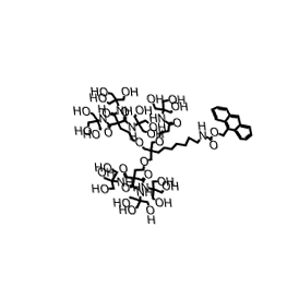 O=C(CCOCC(CCCCCCCNC(=O)OCc1c2ccccc2cc2ccccc12)(COCCCC(C(=O)NC(CO)(CO)CO)(C(=O)NC(CO)(CO)CO)C(=O)NC(CO)(CO)CO)COCCC(C(=O)NC(CO)(CO)CO)(C(=O)NC(CO)(CO)CO)C(=O)NC(CO)(CO)CO)NC(CO)(CO)CO